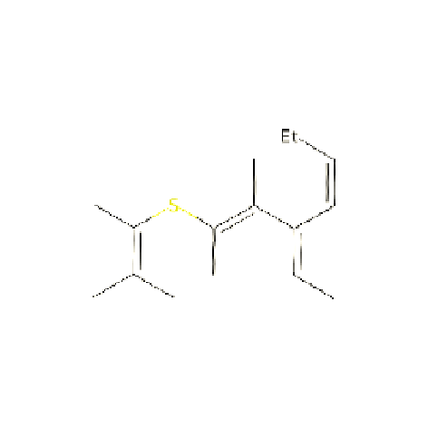 C/C=C(\C=C/CC)C(/C)=C(\C)SC(C)=C(C)C